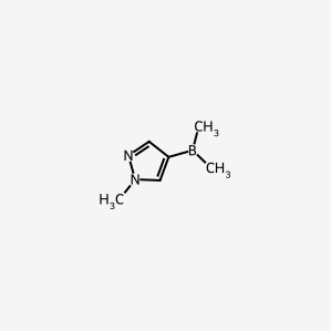 CB(C)c1cnn(C)c1